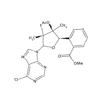 COC(=O)c1ccccc1[C@H]1OC(n2cnc3c(Cl)ncnc32)[C@](C)(F)[C@@]1(C)OC(C)=O